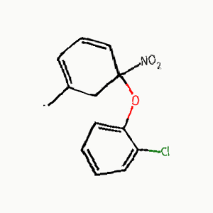 [CH2]C1=CC=CC(Oc2ccccc2Cl)([N+](=O)[O-])C1